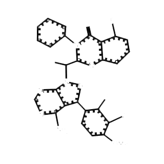 COc1ccc(-c2nn(C(C)c3nc4cccc(F)c4c(=O)n3-c3ccccc3)c3ncnc(N)c23)c(F)c1F